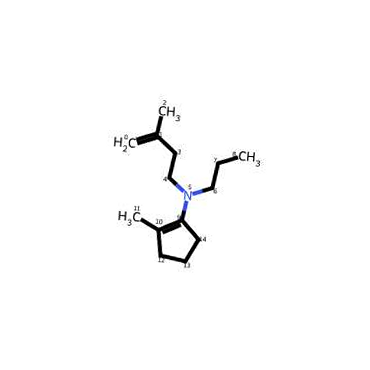 C=C(C)CCN(CCC)C1=C(C)CCC1